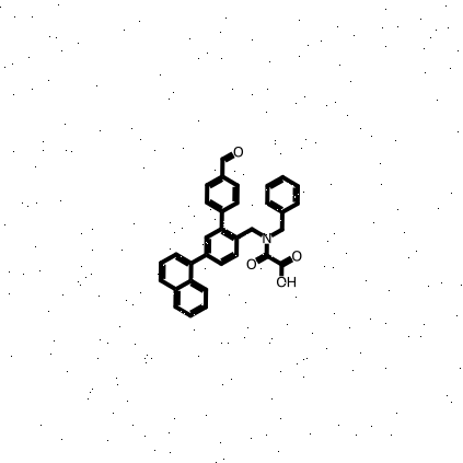 O=Cc1ccc(-c2cc(-c3cccc4ccccc34)ccc2CN(Cc2ccccc2)C(=O)C(=O)O)cc1